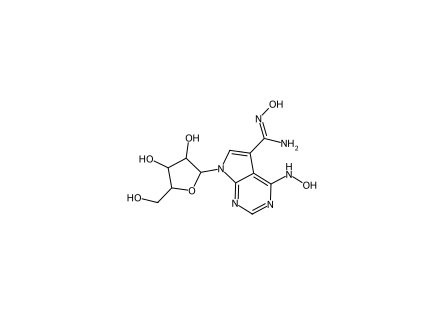 N/C(=N\O)c1cn(C2OC(CO)C(O)C2O)c2ncnc(NO)c12